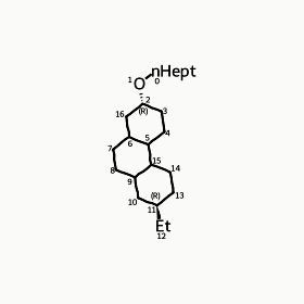 CCCCCCCO[C@@H]1CCC2C(CCC3C[C@H](CC)CCC32)C1